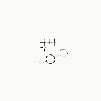 CCCCOc1ccc([S+]2CCCC2)cc1.O=S(=O)([O-])C(F)(F)C(F)(F)C(F)(F)C(F)(F)F